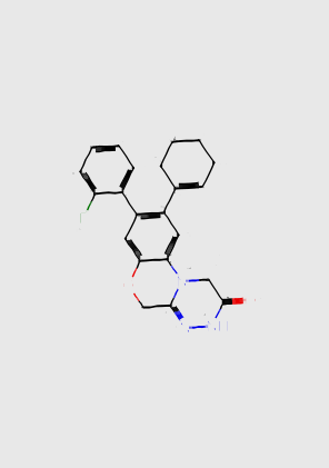 C[C@@H]1C(=O)NN=C2COc3cc(-c4ccccc4F)c(C4=CCCCC4)cc3N21